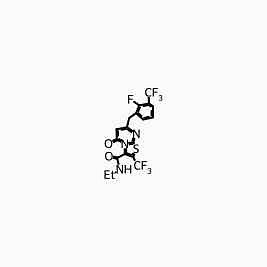 CCNC(=O)c1c(C(F)(F)F)sc2nc(Cc3cccc(C(F)(F)F)c3F)cc(=O)n12